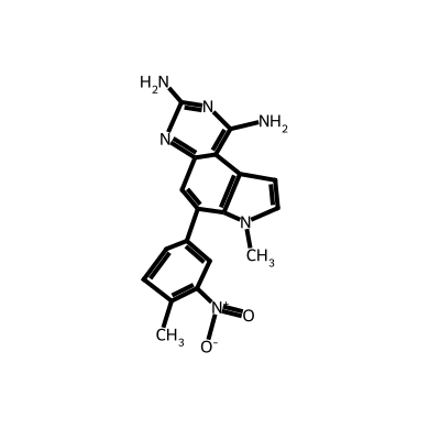 Cc1ccc(-c2cc3nc(N)nc(N)c3c3ccn(C)c23)cc1[N+](=O)[O-]